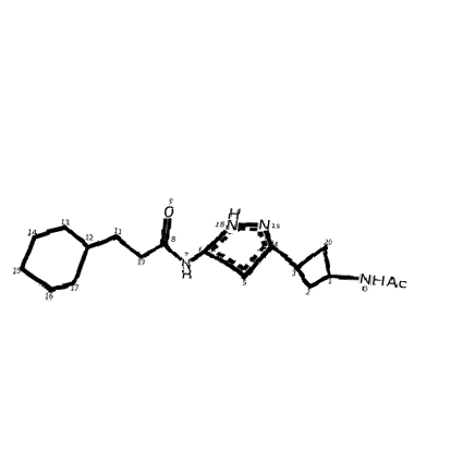 CC(=O)NC1CC(c2cc(NC(=O)CCC3CCCCC3)[nH]n2)C1